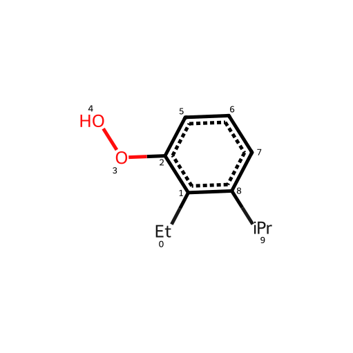 CCc1c(OO)cccc1C(C)C